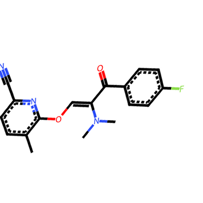 Cc1ccc(C#N)nc1OC=C(C(=O)c1ccc(F)cc1)N(C)C